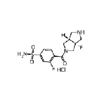 Cl.NS(=O)(=O)c1ccc(C(=O)N2C[C@@H]3CNC[C@@]3(F)C2)c(F)c1